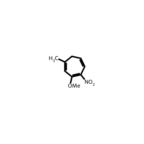 COC1=C([N+](=O)[O-])C=CCC(C)=C1